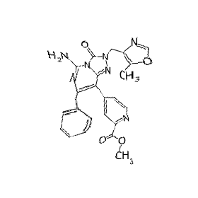 COC(=O)c1cc(-c2c(-c3ccccc3)nc(N)n3c(=O)n(Cc4ncoc4C)nc23)ccn1